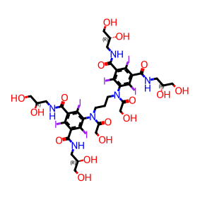 O=C(NC[C@@H](O)CO)c1c(I)c(C(=O)NC[C@@H](O)CO)c(I)c(N(CCCN(C(=O)CO)c2c(I)c(C(=O)NC[C@@H](O)CO)c(I)c(C(=O)NC[C@@H](O)CO)c2I)C(=O)CO)c1I